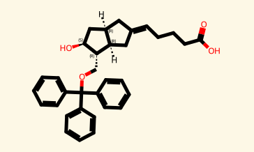 O=C(O)CCCC=C1C[C@@H]2C[C@H](O)[C@@H](COC(c3ccccc3)(c3ccccc3)c3ccccc3)[C@@H]2C1